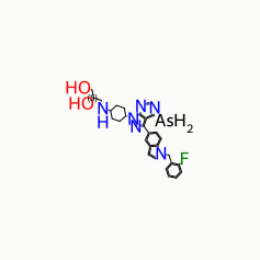 OC[C@@H](O)CN[C@H]1CC[C@H](n2nc(-c3ccc4c(ccn4Cc4ccccc4F)c3)c3c([AsH2])ncnc32)CC1